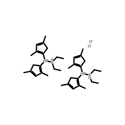 CC[SiH](CC)[Hf+]([C]1=C(C)C=C(C)C1)[C]1=C(C)C=C(C)C1.CC[SiH](CC)[Hf+]([C]1=C(C)C=C(C)C1)[C]1=C(C)C=C(C)C1.[Cl-].[Cl-]